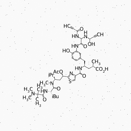 C#CC(=O)NC(NC(O)C#C)C(=O)Nc1cc(C[C@@H](CC(C)C(=O)O)NC(=O)c2csc([C@@H](C[C@H](C(C)C)N(C)C(=O)[C@@H](NC(=O)C(C)(C)N(C)C)[C@@H](C)CC)OC(C)=O)n2)ccc1O